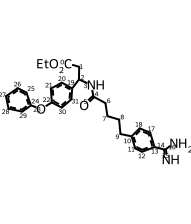 CCOC(=O)CC(NC(=O)CCCCc1ccc(C(=N)N)cc1)c1ccc(Oc2ccccc2)cc1